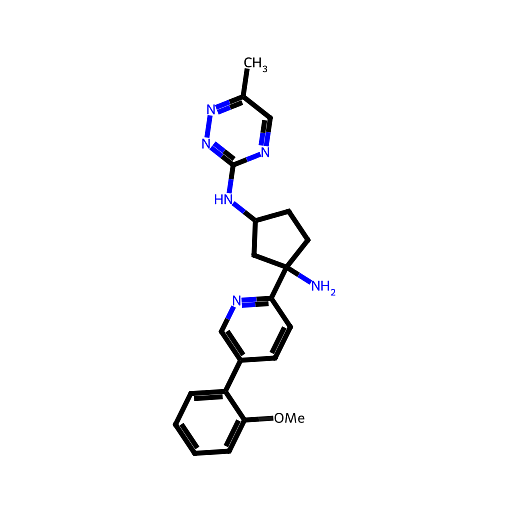 COc1ccccc1-c1ccc(C2(N)CCC(Nc3ncc(C)nn3)C2)nc1